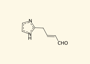 O=CC=CCc1ncc[nH]1